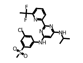 CC(C)Nc1cc(Nc2cc(Cl)cc(S(C)(=O)=O)c2)nc(-c2cccc(C(C)(F)F)n2)n1